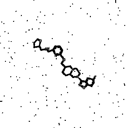 Fc1ccc2onc(N3CCN4CC(COc5cccc(CNCC6CCCO6)n5)CCC4C3)c2c1